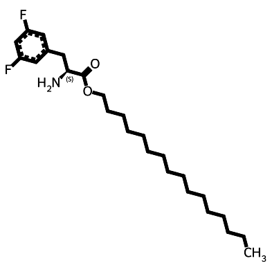 CCCCCCCCCCCCCCCCOC(=O)[C@@H](N)Cc1cc(F)cc(F)c1